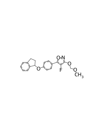 COCOc1noc(-c2ccc(OC3CCc4ccccc43)cc2)c1F